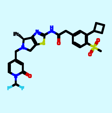 CC(C)[C@H]1c2nc(NC(=O)Cc3ccc(S(C)(=O)=O)c(C4CCC4)c3)sc2CN1Cc1ccn(C(F)F)c(=O)c1